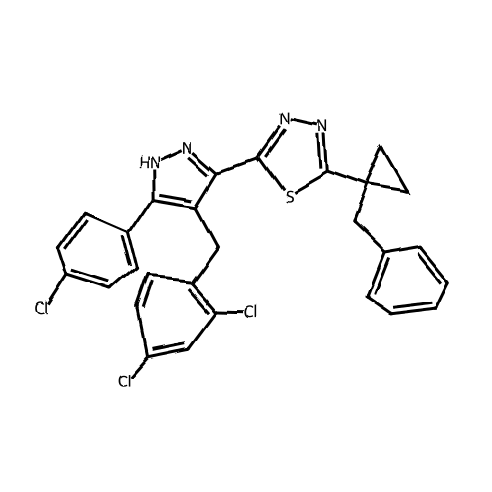 Clc1ccc(-c2[nH]nc(-c3nnc(C4(Cc5ccccc5)CC4)s3)c2Cc2ccc(Cl)cc2Cl)cc1